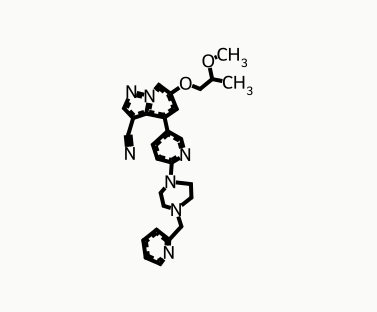 COC(C)COc1cc(-c2ccc(N3CCN(Cc4ccccn4)CC3)nc2)c2c(C#N)cnn2c1